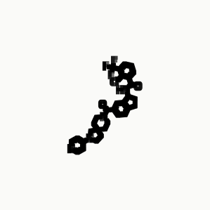 O=C(NC1CCc2ccc(C(=O)N3CCC4(CC3)CCN(c3ccncc3)C4)cc21)c1cccc(C(F)(F)F)c1Cl